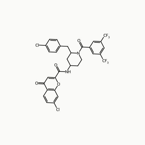 O=C(NC1CCN(C(=O)c2cc(C(F)(F)F)cc(C(F)(F)F)c2)C(Cc2ccc(Cl)cc2)C1)c1cc(=O)c2ccc(Cl)cc2o1